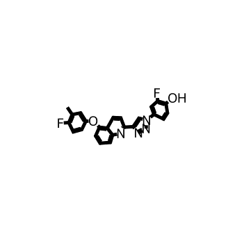 Cc1cc(Oc2cccc3nc(-c4cn(-c5ccc(O)c(F)c5)nn4)ccc23)ccc1F